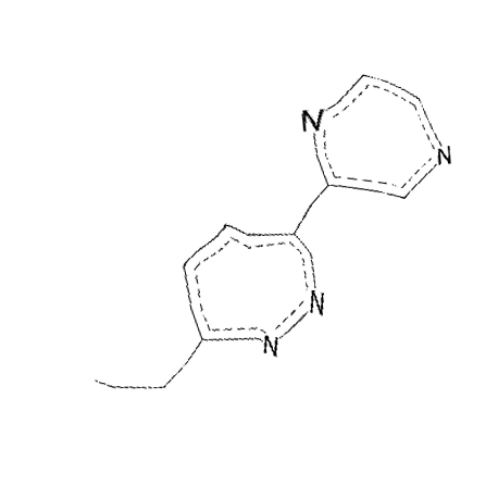 CCc1ccc(-c2cnccn2)nn1